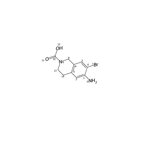 Nc1cc2c(cc1Br)CN(C(=O)O)CC2